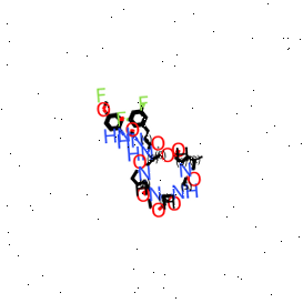 C[C@@H]1C[C@H]2C(=O)O[C@@H](C)[C@H](NC(=O)[C@H](Cc3cc(F)cc(F)c3)NC(=O)Nc3ccc(OCF)cc3)C(=O)N3CCC[C@H]3C(=O)N3CCOC[C@H]3C(=O)N[C@@H](C)C(=O)N2C1